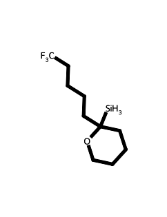 FC(F)(F)CCCCC1([SiH3])CCCCO1